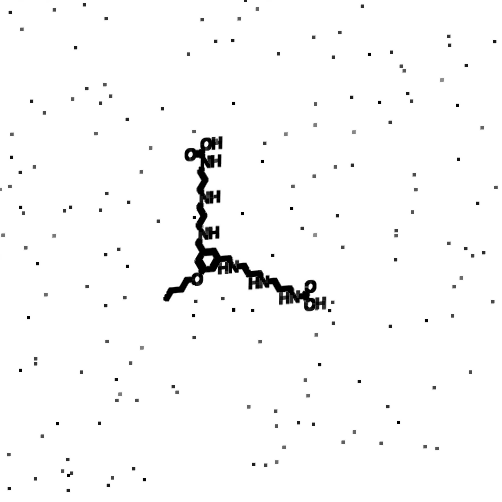 CCCCOc1cc(CNCCCNCCCNC(=O)O)cc(CNCCCNCCCNC(=O)O)c1